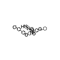 O=C([C@@H]1C[C@@H](Oc2ccc(-c3ccc(Cl)cc3)cc2)CCN1S(=O)(=O)c1ccc(OCC2CCCCC2)cc1)N1CCNCC1